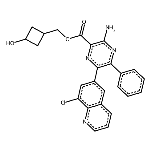 Nc1nc(-c2ccccc2)c(-c2cc(Cl)c3ncccc3c2)nc1C(=O)OCC1CC(O)C1